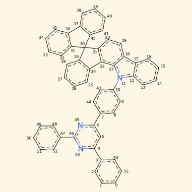 c1ccc(-c2cc(-c3ccc(-n4c5ccccc5c5ccc6c(c54)-c4ccccc4C64c5ccccc5-c5ccccc54)cc3)nc(-c3ccccc3)n2)cc1